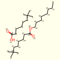 CC(C)(C)CCCCCC(=O)O.CCCCCCCCOC(=O)CCCCCC(C)(C)C